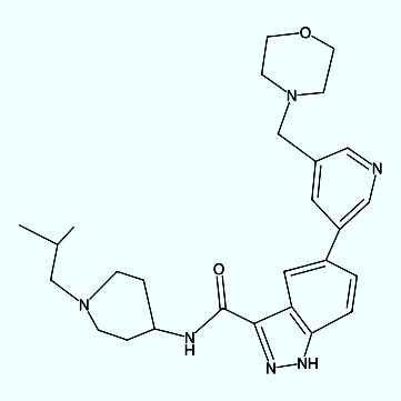 CC(C)CN1CCC(NC(=O)c2n[nH]c3ccc(-c4cncc(CN5CCOCC5)c4)cc23)CC1